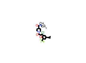 CN(C)C(=O)C1CCN(C(=O)c2oc3c(C(F)(F)F)cc(C4CC4)cc3c2Cl)CC1